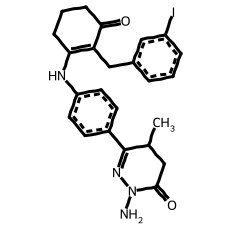 CC1CC(=O)N(N)N=C1c1ccc(NC2=C(Cc3cccc(I)c3)C(=O)CCC2)cc1